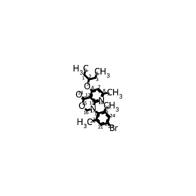 CCC(CC)Oc1cc(C)nc2c1C(=O)OCN2c1c(C)cc(Br)cc1C